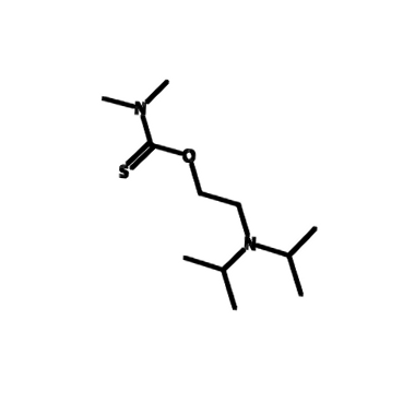 CC(C)N(CCOC(=S)N(C)C)C(C)C